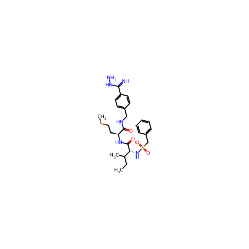 CCC(C)[C@@H](NS(=O)(=O)Cc1ccccc1)C(=O)N[C@@H](CCSC)C(=O)NCc1ccc(C(=N)NN)cc1